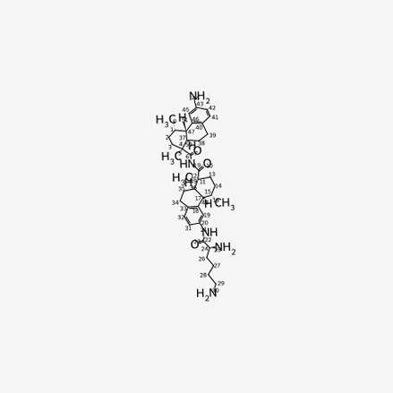 C[C@H]1CC[C@](C)(C(=O)NC(=O)[C@@]2(C)CC[C@H](C)[C@@H]3c4cc(NC(=O)[C@@H](N)CCCCN)ccc4CC[C@H]32)[C@@H]2CCc3ccc(N)cc3[C@H]21